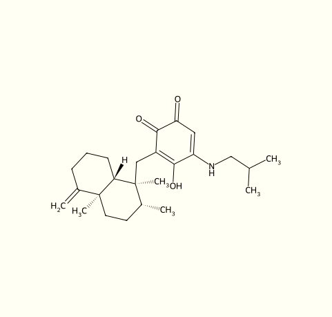 C=C1CCC[C@@H]2[C@@](C)(CC3=C(O)C(NCC(C)C)=CC(=O)C3=O)[C@H](C)CC[C@@]12C